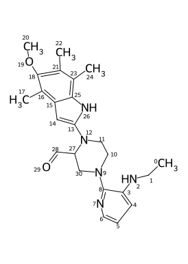 CCNc1cccnc1N1CCN(c2cc3c(C)c(OC)c(C)c(C)c3[nH]2)C(C=O)C1